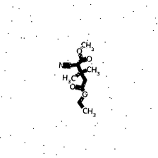 CCOC(=O)CC(C)(C)C(C#N)C(=O)OC